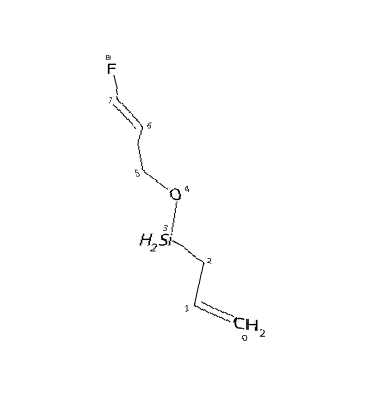 C=CC[SiH2]OCC=CF